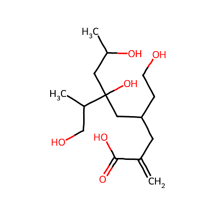 C=C(CC(CCO)CC(O)(CC(C)O)C(C)CO)C(=O)O